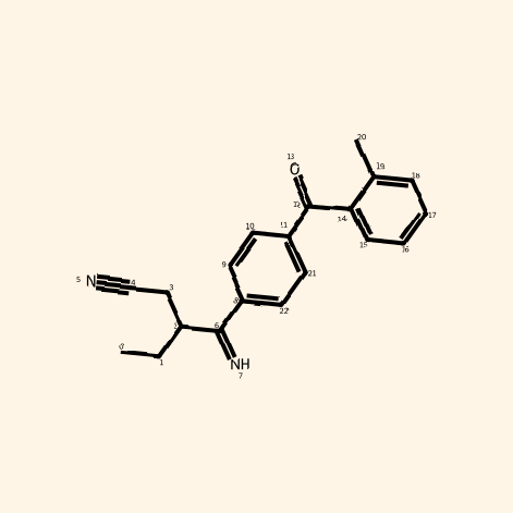 CCC(CC#N)C(=N)c1ccc(C(=O)c2ccccc2C)cc1